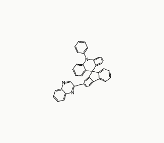 c1ccc(N2c3ccccc3C3(c4ccccc4-c4ccc(-c5cnc6ccccc6n5)cc43)c3ccccc32)cc1